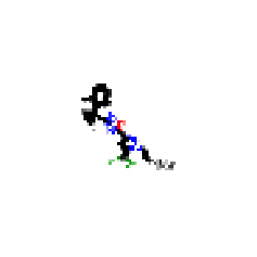 CNCCn1nc(-c2nc(C3(c4ccccc4C)CC3)no2)cc1C(F)F